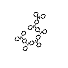 c1ccc(N(c2ccccc2)c2ccc(N(c3ccccc3)c3ccc(N(c4ccccc4)c4ccc(N(c5ccccc5)c5ccc(N(c6ccccc6)c6ccc(N(c7ccccc7)c7ccccc7)cc6)cc5)cc4)cc3)cc2)cc1